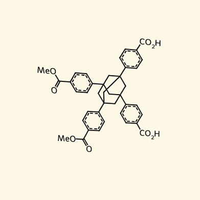 COC(=O)c1ccc(C23CC4(c5ccc(C(=O)O)cc5)CC(c5ccc(C(=O)O)cc5)(C2)CC(c2ccc(C(=O)OC)cc2)(C4)C3)cc1